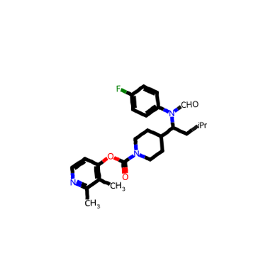 Cc1nccc(OC(=O)N2CCC(C(CC(C)C)N(C=O)c3ccc(F)cc3)CC2)c1C